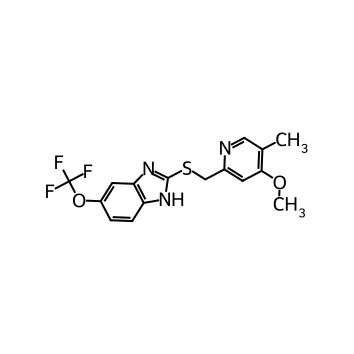 COc1cc(CSc2nc3cc(OC(F)(F)F)ccc3[nH]2)ncc1C